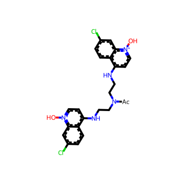 CC(=O)N(CCNc1cc[n+](O)c2cc(Cl)ccc12)CCNc1cc[n+](O)c2cc(Cl)ccc12